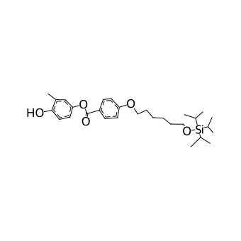 Cc1cc(OC(=O)c2ccc(OCCCCCCO[Si](C(C)C)(C(C)C)C(C)C)cc2)ccc1O